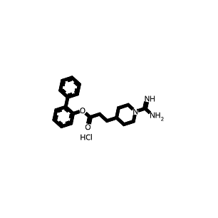 Cl.N=C(N)N1CCC(CCC(=O)Oc2ccccc2-c2ccccc2)CC1